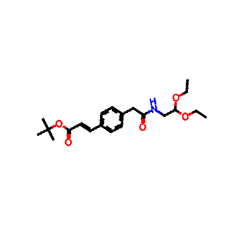 CCOC(CNC(=O)Cc1ccc(/C=C/C(=O)OC(C)(C)C)cc1)OCC